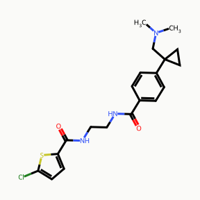 CN(C)CC1(c2ccc(C(=O)NCCNC(=O)c3ccc(Cl)s3)cc2)CC1